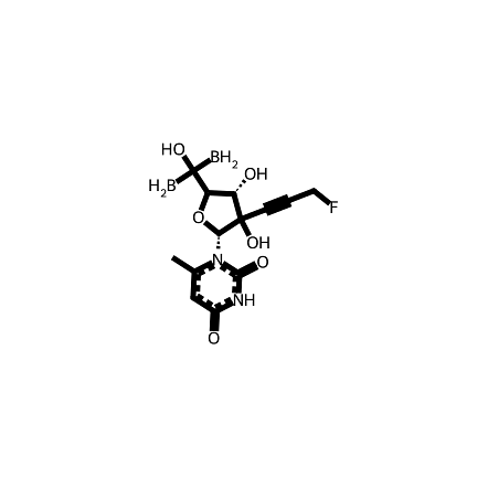 BC(B)(O)C1O[C@@H](n2c(C)cc(=O)[nH]c2=O)C(O)(C#CCF)[C@H]1O